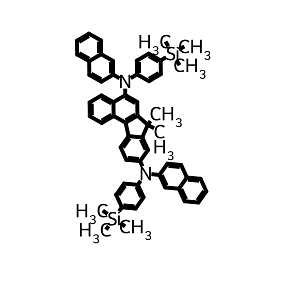 CC1(C)c2cc(N(c3ccc([Si](C)(C)C)cc3)c3ccc4ccccc4c3)ccc2-c2c1cc(N(c1ccc([Si](C)(C)C)cc1)c1ccc3ccccc3c1)c1ccccc21